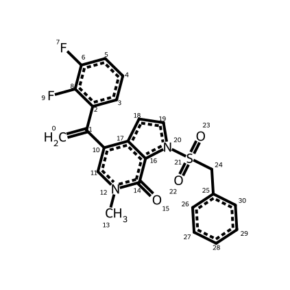 C=C(c1cccc(F)c1F)c1cn(C)c(=O)c2c1ccn2S(=O)(=O)Cc1ccccc1